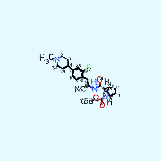 CN1CCC(c2ccc(C[C@@H](C#N)NC(=O)[C@@H]3[C@H]4CC[C@H](C4)N3C(=O)OC(C)(C)C)c(F)c2)CC1